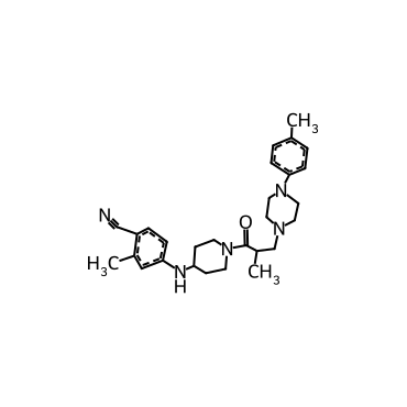 Cc1ccc(N2CCN(CC(C)C(=O)N3CCC(Nc4ccc(C#N)c(C)c4)CC3)CC2)cc1